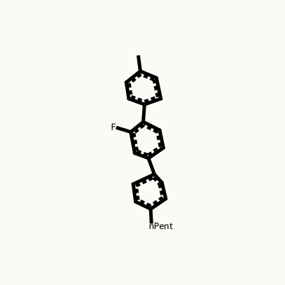 CCCCCc1ccc(-c2ccc(-c3ccc(C)cc3)c(F)c2)cc1